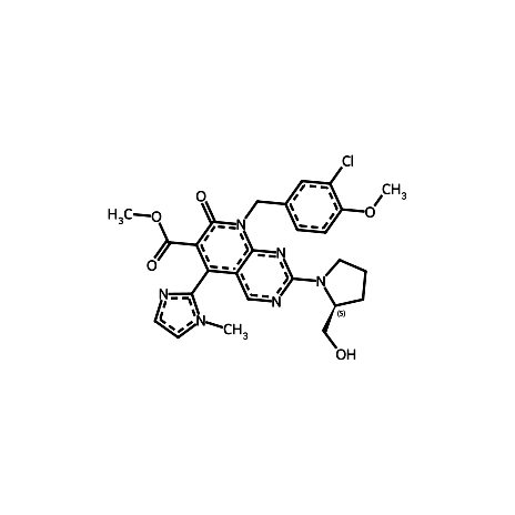 COC(=O)c1c(-c2nccn2C)c2cnc(N3CCC[C@H]3CO)nc2n(Cc2ccc(OC)c(Cl)c2)c1=O